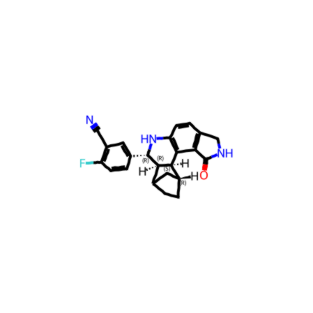 N#Cc1cc([C@@H]2Nc3ccc4c(c3[C@H]3[C@@H]5CCC(C5)[C@H]32)C(=O)NC4)ccc1F